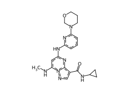 CNc1cc(Nc2cccc(N3CCCOC3)n2)nc2c(C(=O)NC3CC3)cnn12